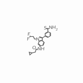 NC(=S)c1cccc(-c2cn(CCC(F)F)c3cc(NC(=O)CC4CC4)ccc23)c1